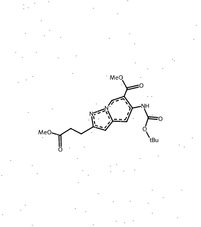 COC(=O)CCc1cc2cc(NC(=O)OC(C)(C)C)c(C(=O)OC)cn2n1